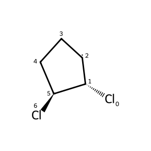 Cl[C@H]1[CH]CC[C@@H]1Cl